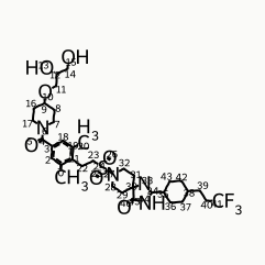 Cc1cc(C(=O)N2CCC(OC[C@H](O)CO)CC2)cc(C)c1CCS(=O)(=O)N1CCC2(CC1)N=C(C1CCC(CCC(F)(F)F)CC1)NC2=O